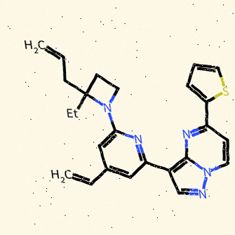 C=CCC1(CC)CCN1c1cc(C=C)cc(-c2cnn3ccc(-c4cccs4)nc23)n1